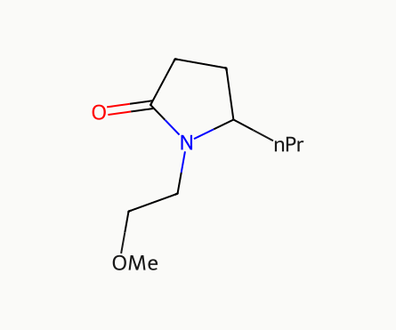 CCCC1CCC(=O)N1CCOC